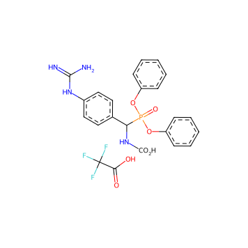 N=C(N)Nc1ccc(C(NC(=O)O)P(=O)(Oc2ccccc2)Oc2ccccc2)cc1.O=C(O)C(F)(F)F